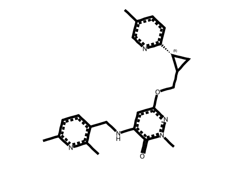 Cc1ccc([C@@H]2CC2COc2cc(NCc3ccc(C)nc3C)c(=O)n(C)n2)nc1